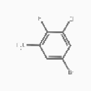 Fc1c(Cl)cc(Br)cc1C(F)(F)F